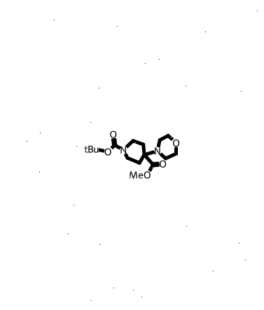 COC(=O)C1(N2CCOCC2)CCN(C(=O)OC(C)(C)C)CC1